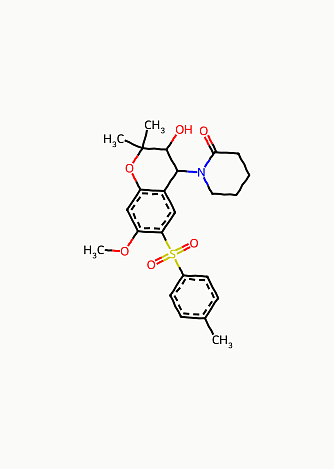 COc1cc2c(cc1S(=O)(=O)c1ccc(C)cc1)C(N1CCCCC1=O)C(O)C(C)(C)O2